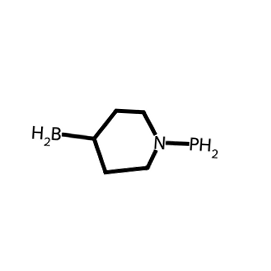 BC1CCN(P)CC1